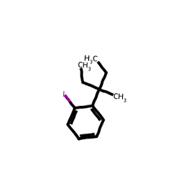 CCC(C)(CC)c1ccccc1I